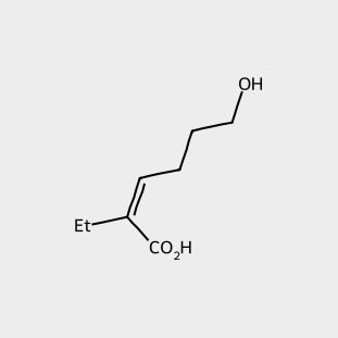 CC/C(=C/CCCO)C(=O)O